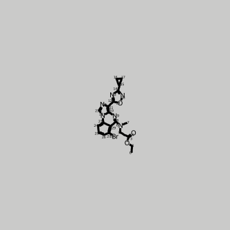 CCOC(=O)CN(C)c1nc2c(-c3nc(C4CC4)no3)ncn2c2cccc(Br)c12